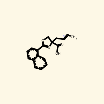 C/C=C/CC1(C(=O)O)COC(c2cccc3ccccc23)=N1